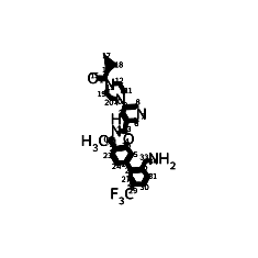 C[C@@H](NC(=O)c1cncc(N2CCN(C(=O)C3CC3)CC2)c1)c1ccc(-c2cc(C(F)(F)F)ccc2CN)cc1